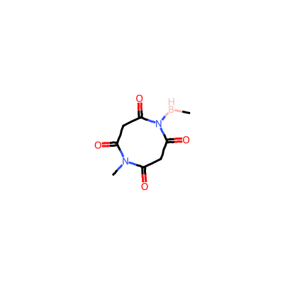 CBN1C(=O)CC(=O)N(C)C(=O)CC1=O